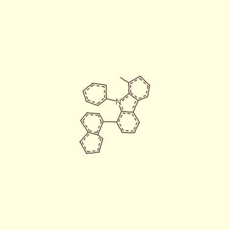 Cc1cccc2c3cccc(-c4cccc5ccccc45)c3n(-c3ccccc3)c12